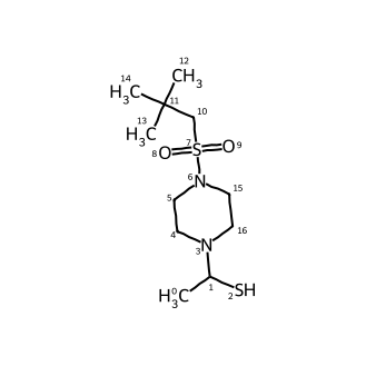 CC(S)N1CCN(S(=O)(=O)CC(C)(C)C)CC1